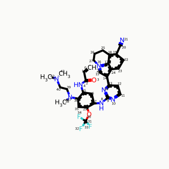 C=CC(=O)Nc1cc(Nc2nccc(-c3cn4c5c(c(C#N)ccc35)CCC4)n2)c(OC(F)(F)F)cc1N(C)CCN(C)C